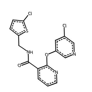 O=C(NCc1ccc(Cl)s1)c1cccnc1Oc1cncc(Cl)c1